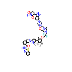 Cc1c(OCC(F)(F)CN2CC(C)N(CC(=O)N3CCN(c4ccc5c(C6CCC(=O)NC6=O)nn(C)c5c4)CC3)C(C)C2)cccc1-c1ccc(N2CCc3cccc(C(=O)Nc4nc5ccccc5s4)c3C2)nc1C(=O)O